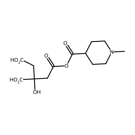 CN1CCC(C(=O)OC(=O)CC(O)(CC(=O)O)C(=O)O)CC1